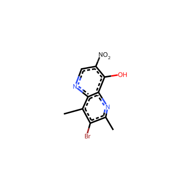 Cc1nc2c(O)c([N+](=O)[O-])cnc2c(C)c1Br